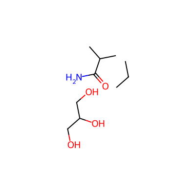 CC(C)C(N)=O.CCC.OCC(O)CO